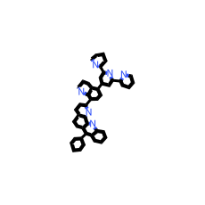 c1ccc(-c2c3ccccc3nc3c2ccc2ccc(-c4ccc(-c5cc(-c6ccccn6)nc(-c6ccccn6)c5)c5cccnc45)nc23)cc1